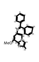 COc1cc(N=C(c2ccccc2)c2ccccc2)cn2cc(C)nc12